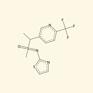 CC(c1ccc(C(F)(F)F)nc1)S(C)(=O)=Nc1nccs1